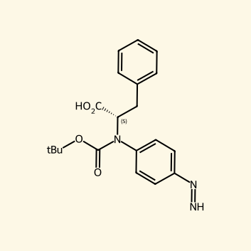 CC(C)(C)OC(=O)N(c1ccc(N=N)cc1)[C@@H](Cc1ccccc1)C(=O)O